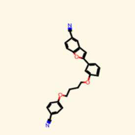 N#Cc1ccc(OCCCCOc2cccc(-c3cc4cc(C#N)ccc4o3)c2)cc1